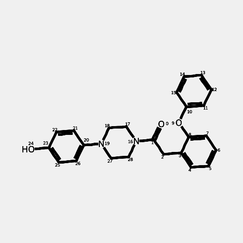 O=C(Cc1ccccc1Oc1ccccc1)N1CCN(c2ccc(O)cc2)CC1